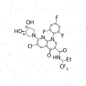 CCC(NC(=O)c1cn(-c2c(F)cc(F)cc2F)c2nc(N3C[C@@H](O)[C@H](O)C3)c(Cl)cc2c1=O)C(F)(F)F